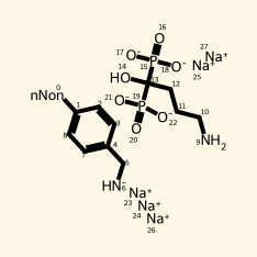 CCCCCCCCCc1ccc(C[NH-])cc1.NCCCC(O)(P(=O)([O-])[O-])P(=O)([O-])[O-].[Na+].[Na+].[Na+].[Na+].[Na+]